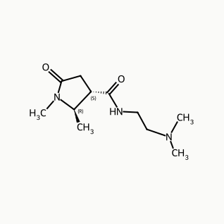 C[C@@H]1[C@@H](C(=O)NCCN(C)C)CC(=O)N1C